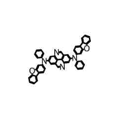 c1ccc(N(c2cc3cnc4cc(N(c5ccccc5)c5ccc6c(c5)oc5ccccc56)cc5cnc(c2)c3c54)c2ccc3c(c2)oc2ccccc23)cc1